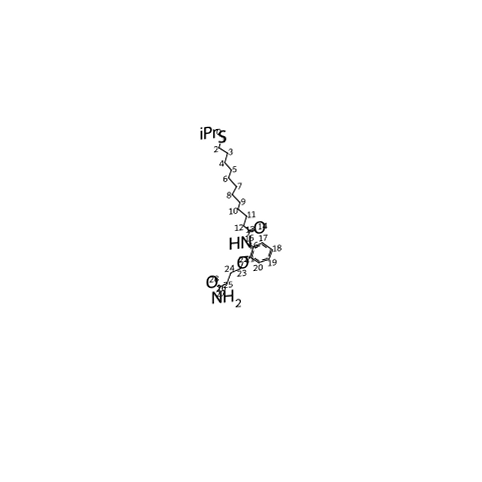 CC(C)SCCCCCCCCCCCC(=O)Nc1ccccc1OCCCC(N)=O